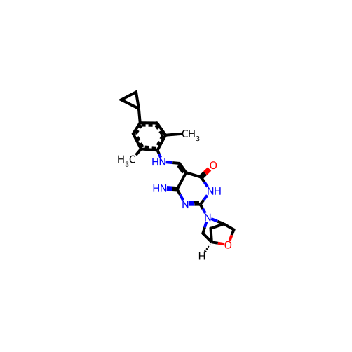 Cc1cc(C2CC2)cc(C)c1N/C=C1\C(=N)N=C(N2C[C@H]3CC2CO3)NC1=O